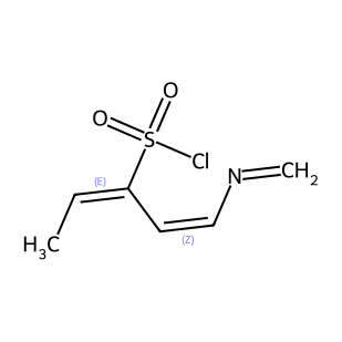 C=N/C=C\C(=C/C)S(=O)(=O)Cl